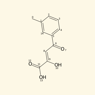 Cc1cccc(C(=O)C=C(O)C(=O)O)c1